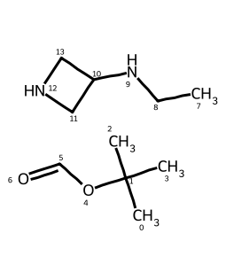 CC(C)(C)OC=O.CCNC1CNC1